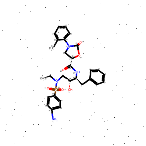 CC[C@H](C)CN(C[C@@H](O)[C@H](Cc1ccccc1)NC(=O)[C@@H]1CN(c2ccccc2C(F)(F)F)C(=O)O1)S(=O)(=O)c1ccc(N)cc1